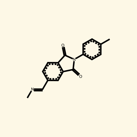 C/N=C/c1ccc2c(c1)C(=O)N(c1ccc(C)cc1)C2=O